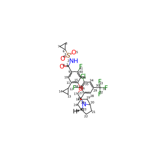 O=C(NS(=O)(=O)C1CC1)c1cc(C2CC2)c(OCC2CC3CC[C@H](C2)N3Cc2cc(C(F)(F)F)cc(Cl)c2F)cc1F